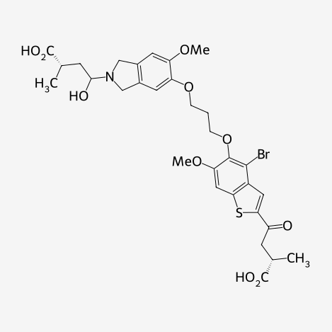 COc1cc2c(cc1OCCCOc1c(OC)cc3sc(C(=O)C[C@H](C)C(=O)O)cc3c1Br)CN(C(O)C[C@H](C)C(=O)O)C2